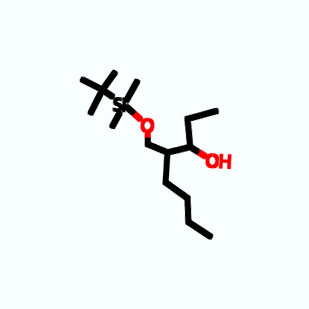 CCCCC(CO[Si](C)(C)C(C)(C)C)C(O)CC